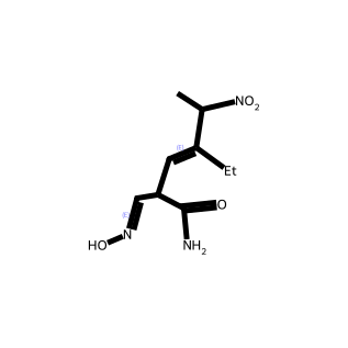 CC/C(=C\C(/C=N/O)C(N)=O)C(C)[N+](=O)[O-]